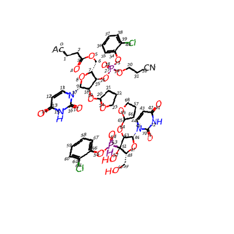 CC(=O)CCC(=O)OC[C@H]1O[C@@H](n2ccc(=O)[nH]c2=O)[C@H](OC2CCCO2)[C@@H]1OP(=O)(OCCC#N)Oc1ccccc1Cl.O=c1ccn([C@@H]2O[C@H](CO)[C@](O)([PH](=O)Oc3ccccc3Cl)[C@H]2OC2CCCO2)c(=O)[nH]1